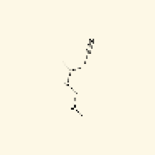 [CH2]OCOC(C)CC#N